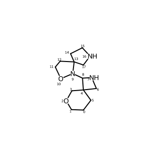 C1COCC2(C1)CNC2N1OCCC12CCNC2